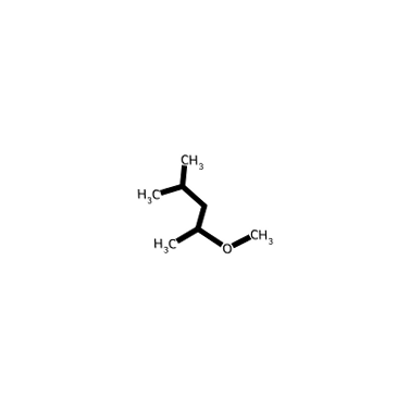 COC(C)CC(C)C